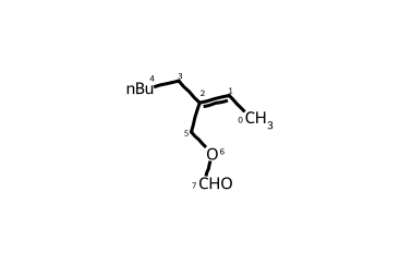 CC=C(CCCCC)COC=O